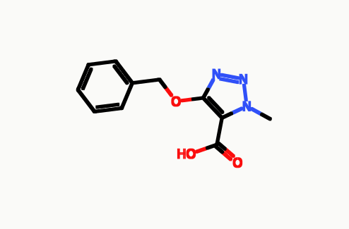 Cn1nnc(OCc2ccccc2)c1C(=O)O